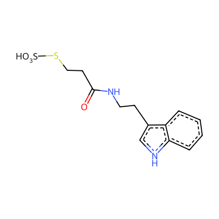 O=C(CCSS(=O)(=O)O)NCCc1c[nH]c2ccccc12